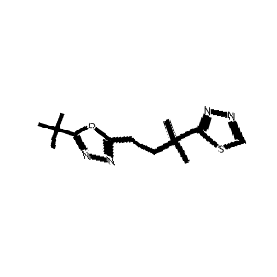 CC(C)(C)c1nnc(CCC(C)(C)c2nncs2)o1